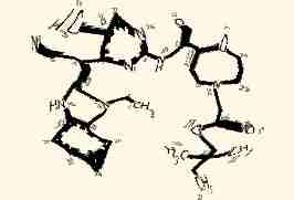 CCN1C(=C(C#N)c2nc(NC(=O)C3CN(C(=O)OC(C)(C)C)CCO3)ncc2C)Nc2ccccc21